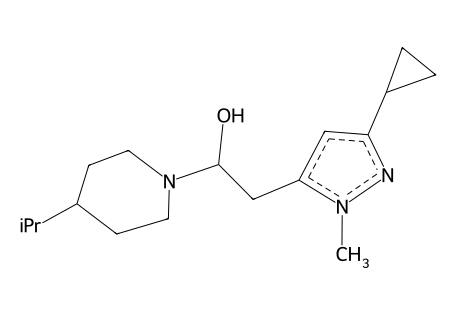 CC(C)C1CCN(C(O)Cc2cc(C3CC3)nn2C)CC1